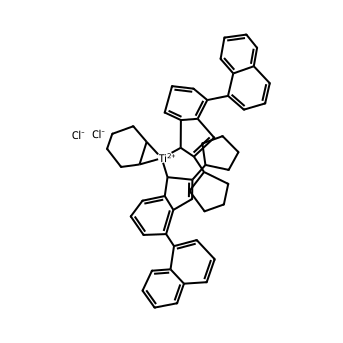 C1=C(C2CCCC2)[CH]([Ti+2]2([CH]3C(C4CCCC4)=Cc4c(-c5cccc6ccccc56)cccc43)[CH]3CCCC[CH]32)c2cccc(-c3cccc4ccccc34)c21.[Cl-].[Cl-]